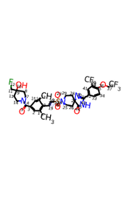 Cc1cc(C(=O)N2CCC(O)(CF)CC2)cc(C)c1/C=C/S(=O)(=O)N1CCC2(CC1)N=C(c1ccc(OCC(F)(F)F)c(C(F)(F)F)c1)NC2=O